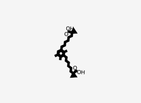 Cc1cc(CCCCCCC2(C(=O)O)CC2)c(C)c(CCCCCCC2(C(=O)O)CC2)c1C